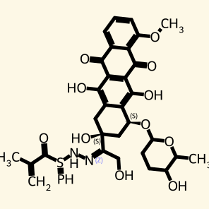 C=C(C)C(=O)S(=P)N/N=C(/CO)[C@]1(O)Cc2c(O)c3c(c(O)c2[C@@H](OC2CCC(O)C(C)O2)C1)C(=O)c1c(OC)cccc1C3=O